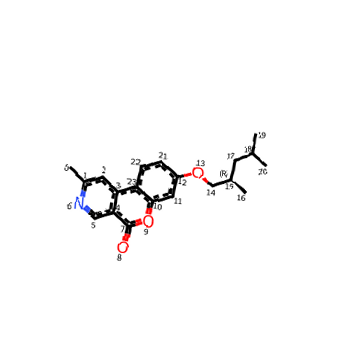 Cc1cc2c(cn1)c(=O)oc1cc(OC[C@H](C)CC(C)C)ccc12